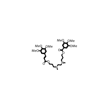 COc1cc(C=CC(=O)OCCCN(C)CCN(C)CCCOC(=O)c2cc(OC)c(OC)c(OC)c2)cc(OC)c1OC